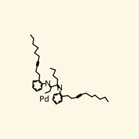 CCCCCCC#CCCc1ccccc1/N=C(CCCC)\C(CC)=N\c1ccccc1CCC#CCCCCCC.[Pd]